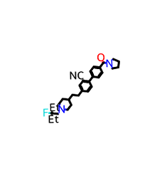 CCC(F)(CC)CN1CCC(CCc2ccc(-c3ccc(C(=O)N4CCCC4)cc3)c(C#N)c2)CC1